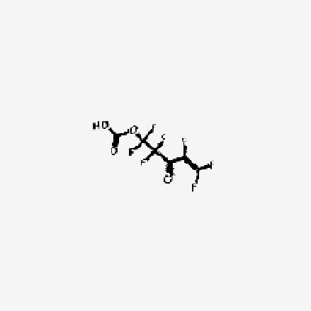 O=C(O)OC(F)(F)C(F)(F)C(=O)C(F)=C(F)F